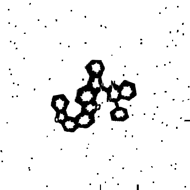 c1ccc(-c2nc(-n3c4ccccc4c4ccc5c(oc6ccc7ccc8oc9ccccc9c8c7c65)c43)nc3ccccc23)cc1